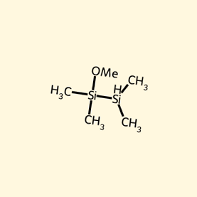 CO[Si](C)(C)[SiH](C)C